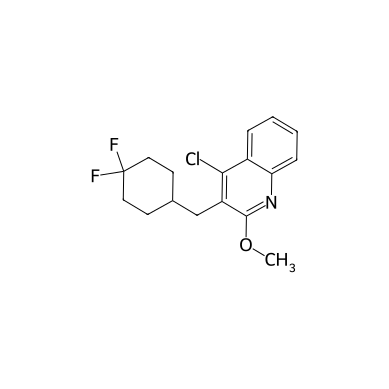 COc1nc2ccccc2c(Cl)c1CC1CCC(F)(F)CC1